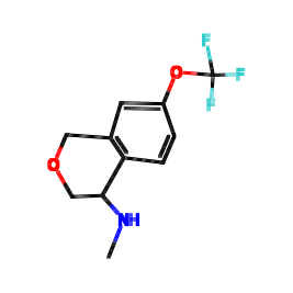 CNC1COCc2cc(OC(F)(F)F)ccc21